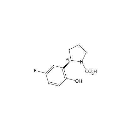 O=C(O)N1CCC[C@@H]1c1cc(F)ccc1O